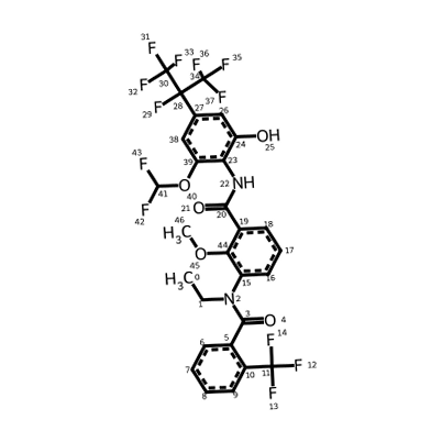 CCN(C(=O)c1ccccc1C(F)(F)F)c1cccc(C(=O)Nc2c(O)cc(C(F)(C(F)(F)F)C(F)(F)F)cc2OC(F)F)c1OC